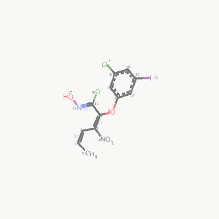 C\C=C/C(=C(Oc1cc(Cl)cc(I)c1)\C(Cl)=N\O)[N+](=O)[O-]